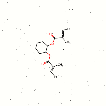 CC/C=C(\C)C(=O)OC1CCCCC1OC(=O)/C(C)=C/CC